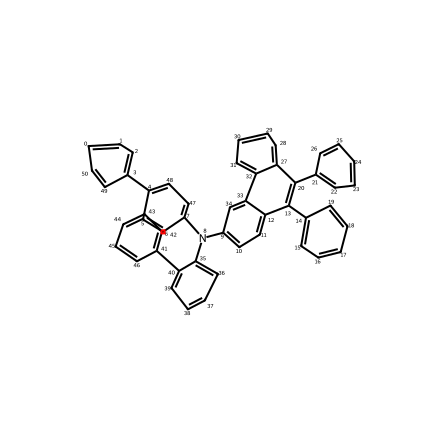 c1ccc(-c2ccc(N(c3ccc4c(-c5ccccc5)c(-c5ccccc5)c5ccccc5c4c3)c3ccccc3-c3ccccc3)cc2)cc1